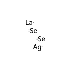 [Ag].[La].[Se].[Se]